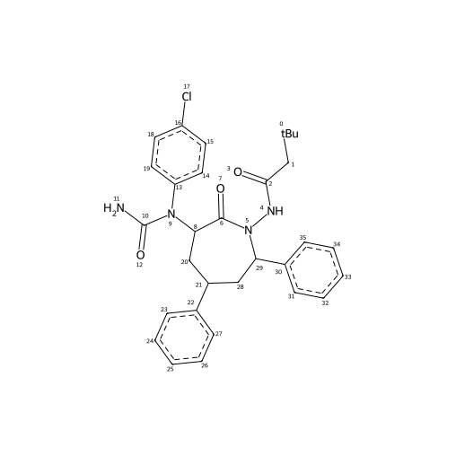 CC(C)(C)CC(=O)NN1C(=O)C(N(C(N)=O)c2ccc(Cl)cc2)CC(c2ccccc2)CC1c1ccccc1